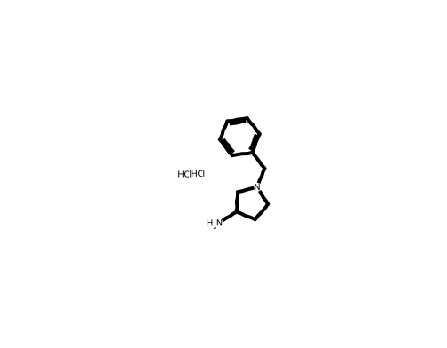 Cl.Cl.NC1CCN(Cc2ccccc2)C1